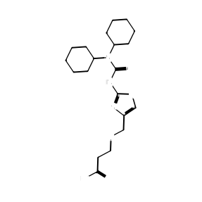 O=C(O)CCSCc1csc(NC(=O)N(C2CCCCC2)C2CCCCC2)n1